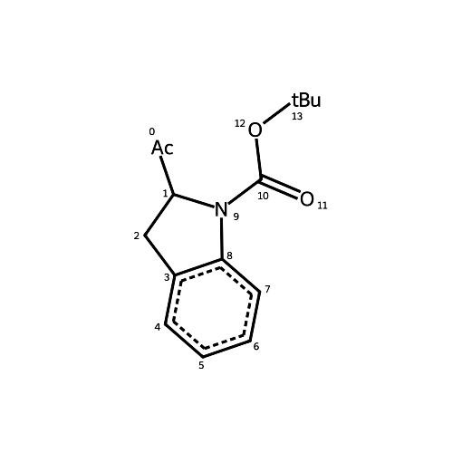 CC(=O)C1Cc2ccccc2N1C(=O)OC(C)(C)C